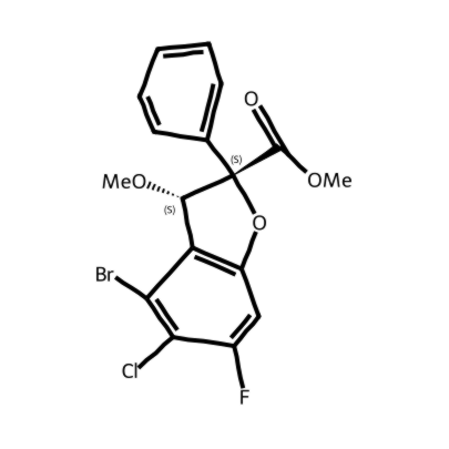 COC(=O)[C@@]1(c2ccccc2)Oc2cc(F)c(Cl)c(Br)c2[C@@H]1OC